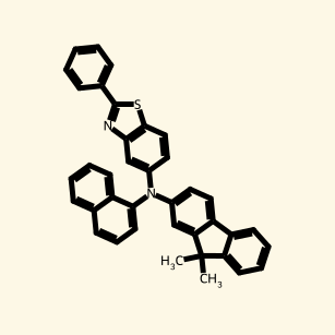 CC1(C)c2ccccc2-c2ccc(N(c3ccc4sc(-c5ccccc5)nc4c3)c3cccc4ccccc34)cc21